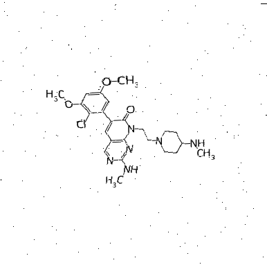 CNc1ncc2cc(-c3cc(OC)cc(OC)c3Cl)c(=O)n(CCN3CCC(NC)CC3)c2n1